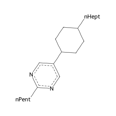 CCCCCCCC1CCC(c2cnc(CCCCC)nc2)CC1